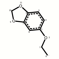 [CH2]COc1ccc2c(c1)OCO2